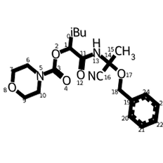 CCC(C)C(OC(=O)N1CCOCC1)C(=O)NC(C)(C#N)OCc1ccccc1